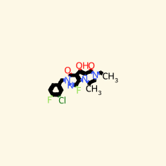 CCN1CC(C)n2c(c(O)c3c(=O)n(Cc4ccc(F)c(Cl)c4)nc(F)c32)C1=O